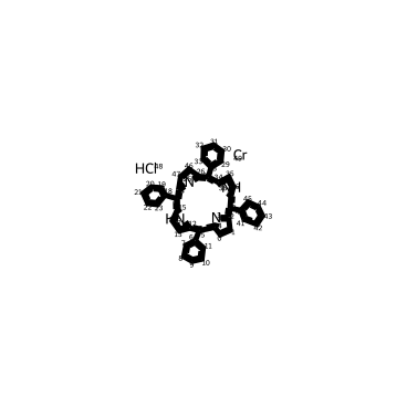 C1=Cc2nc1c(-c1ccccc1)c1ccc([nH]1)c(-c1ccccc1)c1nc(c(-c3ccccc3)c3ccc([nH]3)c2-c2ccccc2)C=C1.Cl.[Cr]